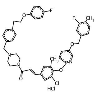 Cc1ccc(COc2ccc(Oc3c(C)cc(C=CC(=O)N4CCN(Cc5ccc(CCOc6ccc(F)cc6)cc5)CC4)cc3Cl)nc2)cc1F.Cl